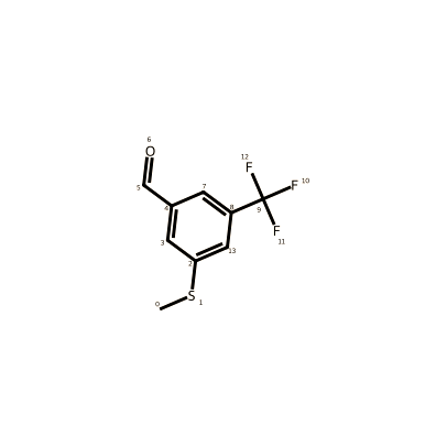 CSc1cc(C=O)cc(C(F)(F)F)c1